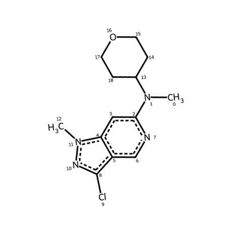 CN(c1cc2c(cn1)c(Cl)nn2C)C1CCOCC1